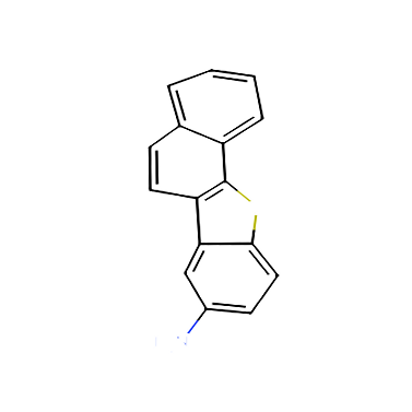 Nc1ccc2sc3c4ccccc4ccc3c2c1